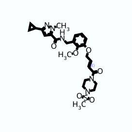 COc1c(CNC(=O)c2cc(C3CC3)nn2C)cccc1OC/C=C/C(=O)N1CCN(S(C)(=O)=O)CC1